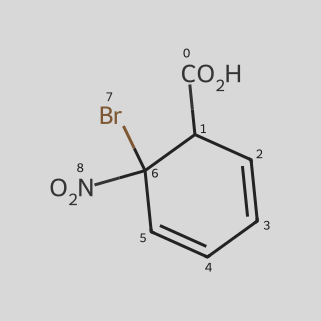 O=C(O)C1C=CC=CC1(Br)[N+](=O)[O-]